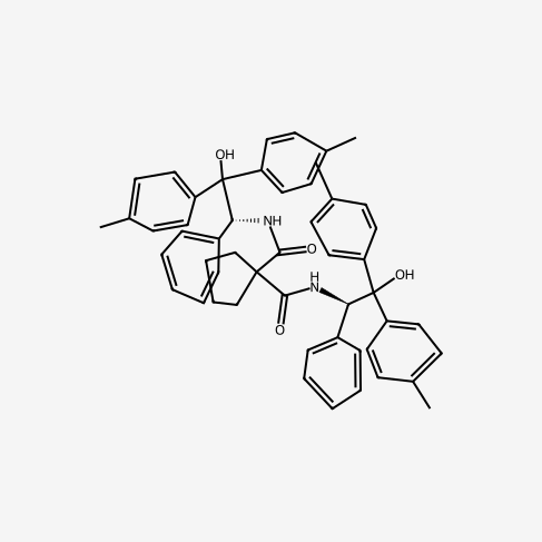 Cc1ccc(C(O)(c2ccc(C)cc2)[C@H](NC(=O)C2(C(=O)N[C@H](c3ccccc3)C(O)(c3ccc(C)cc3)c3ccc(C)cc3)CCCC2)c2ccccc2)cc1